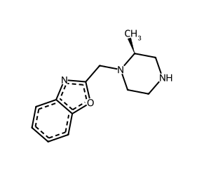 C[C@H]1CNCCN1Cc1nc2ccccc2o1